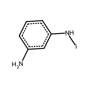 Nc1cccc(NI)c1